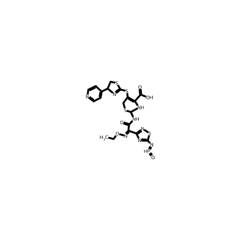 CCO/N=C(\C(=O)NC1NC(C(=O)O)=C(SC2=NC(c3ccncc3)CS2)CS1)c1nsc(N=[PH]=O)n1